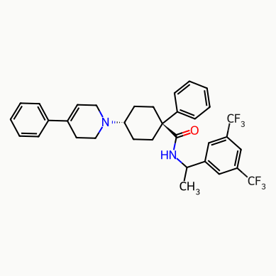 CC(NC(=O)[C@]1(c2ccccc2)CC[C@@H](N2CC=C(c3ccccc3)CC2)CC1)c1cc(C(F)(F)F)cc(C(F)(F)F)c1